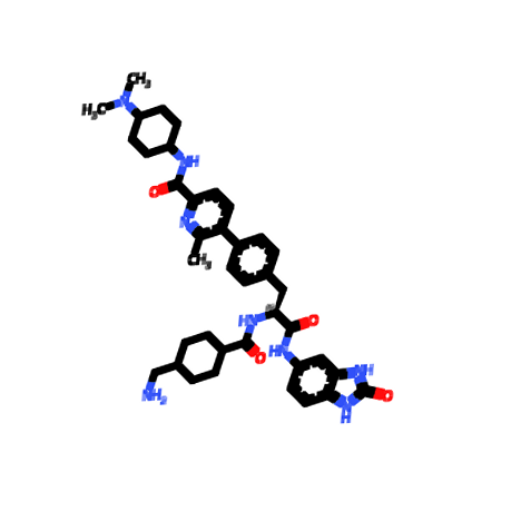 Cc1nc(C(=O)NC2CCC(N(C)C)CC2)ccc1-c1ccc(C[C@H](NC(=O)C2CCC(CN)CC2)C(=O)Nc2ccc3[nH]c(=O)[nH]c3c2)cc1